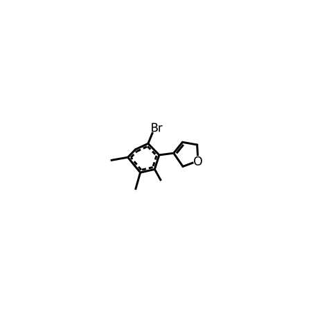 Cc1cc(Br)c(C2=CCOC2)c(C)c1C